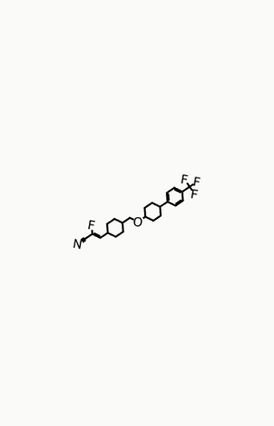 N#CC(F)=CC1CCC(COC2CCC(c3ccc(C(F)(F)F)cc3)CC2)CC1